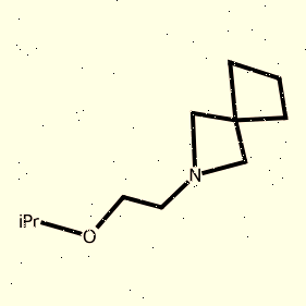 CC(C)OCCN1CC2(CCC2)C1